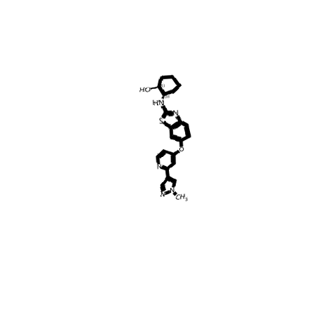 Cn1cc(-c2cc(Oc3ccc4nc(N[C@H]5CCCC[C@@H]5O)sc4c3)ccn2)cn1